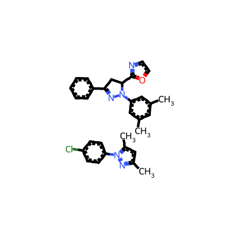 Cc1cc(C)cc(N2N=C(c3ccccc3)CC2c2ncco2)c1.Cc1cc(C)n(-c2ccc(Cl)cc2)n1